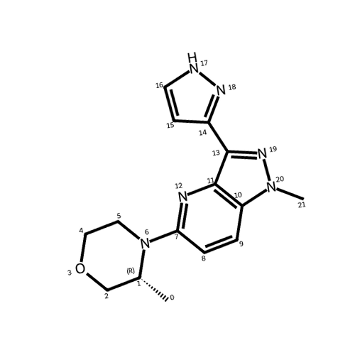 C[C@@H]1COCCN1c1ccc2c(n1)c(-c1cc[nH]n1)nn2C